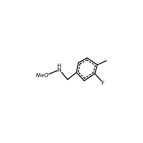 CONCc1ccc(C)c(F)c1